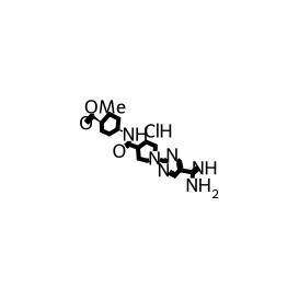 COC(=O)[C@H]1CC[C@H](NC(=O)C2CCN(c3ncc(C(=N)N)cn3)CC2)CC1.Cl